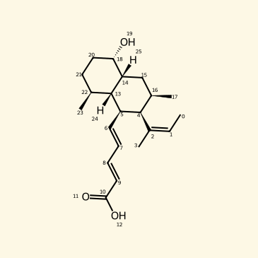 C/C=C(/C)[C@H]1[C@@H](/C=C/C=C/C(=O)O)[C@H]2[C@@H](C[C@H]1C)[C@@H](O)CC[C@@H]2C